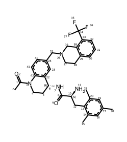 CC(=O)N1CC[C@@H](NC(=O)[C@@H](N)Cc2c(C)cc(C)cc2C)c2cc(CN3CCc4cccc(C(F)(F)F)c4C3)ccc21